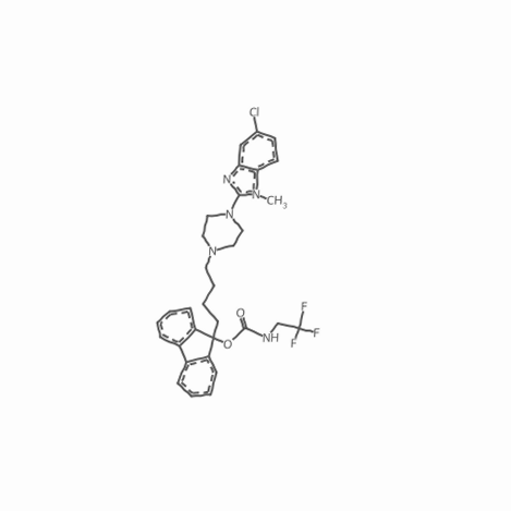 Cn1c(N2CCN(CCCCC3(OC(=O)NCC(F)(F)F)c4ccccc4-c4ccccc43)CC2)nc2cc(Cl)ccc21